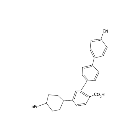 CCCC1CCC(c2ccc(C(=O)O)c(-c3ccc(-c4ccc(C#N)cc4)cc3)c2)CC1